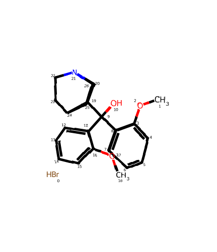 Br.COc1ccccc1C(O)(c1ccccc1OC)C1CN2CCC1CC2